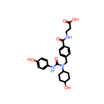 O=C(O)CCNC(=O)c1ccc(CN(C(=O)Nc2ccc(O)cc2)C2CCC(O)CC2)cc1